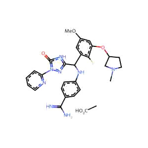 CC(=O)O.COc1cc(OC2CCN(C)C2)c(F)c(C(Nc2ccc(C(=N)N)cc2)c2nn(-c3ccccn3)c(=O)[nH]2)c1